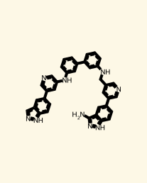 Nc1n[nH]c2ccc(-c3cncc(CNc4cccc(-c5cccc(Nc6cncc(-c7ccc8[nH]ncc8c7)c6)c5)c4)c3)cc12